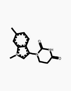 Cc1ccc2c(N3CCC(=O)NC3=O)cn(C)c2c1